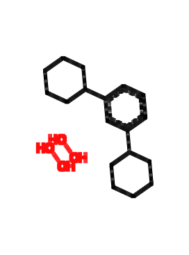 OO.OO.c1cc(C2CCCCC2)cc(C2CCCCC2)c1